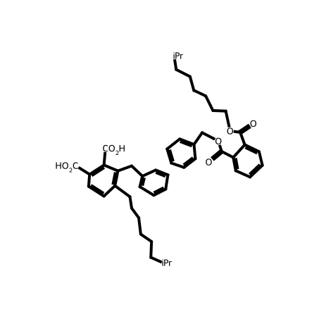 CC(C)CCCCCCOC(=O)c1ccccc1C(=O)OCc1ccccc1.CC(C)CCCCCCc1ccc(C(=O)O)c(C(=O)O)c1Cc1ccccc1